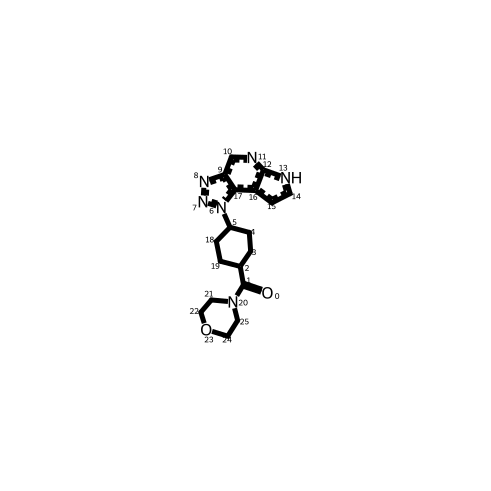 O=C(C1CCC(n2nnc3cnc4[nH]ccc4c32)CC1)N1CCOCC1